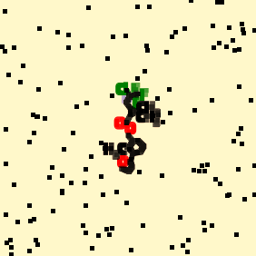 Cc1c(COC(=O)C2C(/C=C(/Cl)C(F)(F)F)C2(C)C)cccc1-c1ccco1